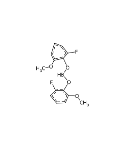 COc1cccc(F)c1OBOc1c(F)cccc1OC